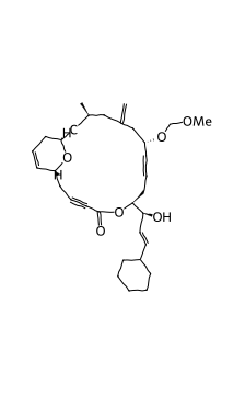 C=C1C[C@H](C)C[C@@H]2CC=C[C@@H](CC#CC(=O)O[C@H]([C@@H](O)/C=C/C3CCCCC3)C/C=C/[C@@H](OCOC)C1)O2